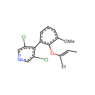 CC=C(CC)Oc1c(-c2c(Cl)cncc2Cl)[c]ccc1OC